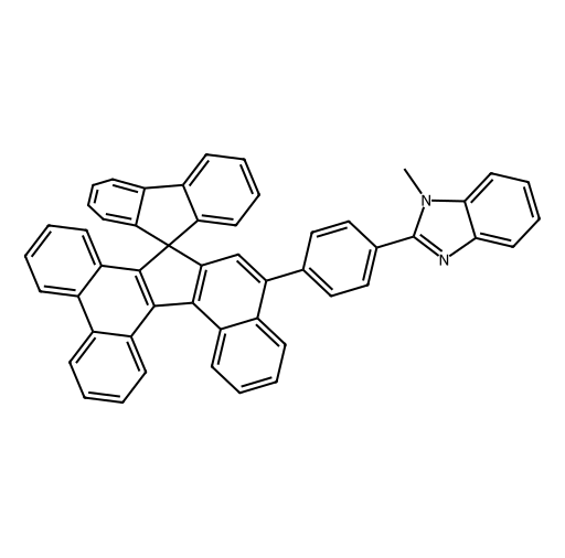 Cn1c(-c2ccc(-c3cc4c(c5ccccc35)-c3c(c5ccccc5c5ccccc35)C43c4ccccc4-c4ccccc43)cc2)nc2ccccc21